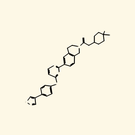 C=C(CC1CCC(F)(F)CC1)N1CCc2cc(-c3nccc(Nc4ccc(-c5cn[nH]c5)cc4)n3)ccc2C1